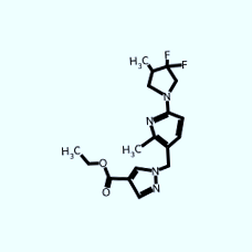 CCOC(=O)c1cnn(Cc2ccc(N3CC(C)C(F)(F)C3)nc2C)c1